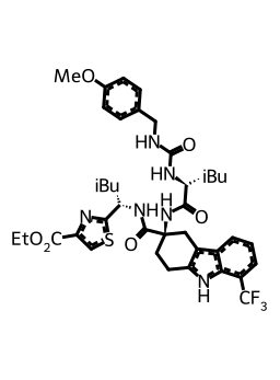 CCOC(=O)c1csc([C@@H](NC(=O)[C@@]2(NC(=O)[C@@H](NC(=O)NCc3ccc(OC)cc3)[C@@H](C)CC)CCc3[nH]c4c(C(F)(F)F)cccc4c3C2)[C@@H](C)CC)n1